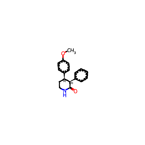 COc1ccc([C@@H]2CCNC(=O)[C@@H]2c2ccccc2)cc1